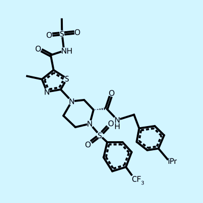 Cc1nc(N2CCN(S(=O)(=O)c3ccc(C(F)(F)F)cc3)[C@@H](C(=O)NCc3ccc(C(C)C)cc3)C2)sc1C(=O)NS(C)(=O)=O